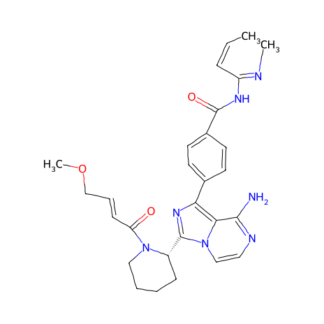 C/C=C\C(=N/C)NC(=O)c1ccc(-c2nc([C@@H]3CCCCN3C(=O)/C=C/COC)n3ccnc(N)c23)cc1